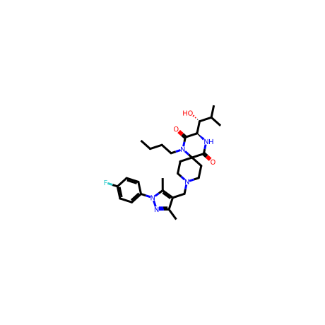 CCCCN1C(=O)[C@@H]([C@H](O)C(C)C)NC(=O)C12CCN(Cc1c(C)nn(-c3ccc(F)cc3)c1C)CC2